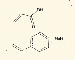 C=CC(=O)O.C=Cc1ccccc1.[NaH]